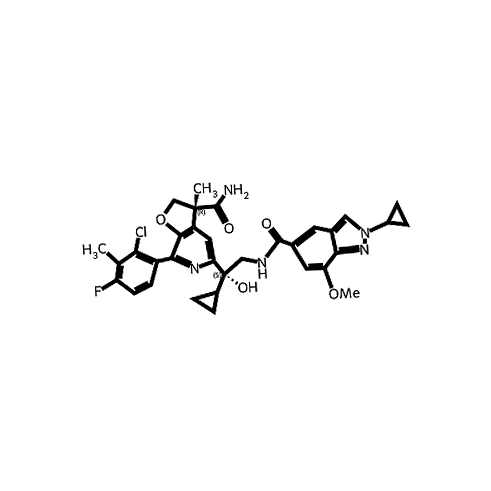 COc1cc(C(=O)NC[C@](O)(c2cc3c(c(-c4ccc(F)c(C)c4Cl)n2)OC[C@]3(C)C(N)=O)C2CC2)cc2cn(C3CC3)nc12